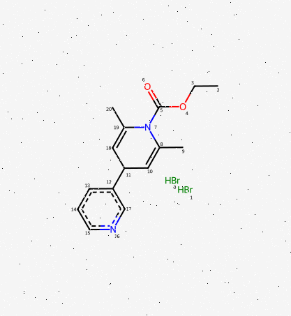 Br.Br.CCOC(=O)N1C(C)=CC(c2cccnc2)C=C1C